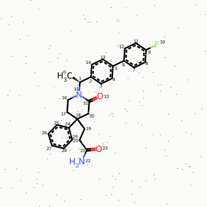 C[C@@H](c1ccc(-c2ccc(F)cc2)cc1)N1CCC(CCC(N)=O)(c2ccccc2)CC1=O